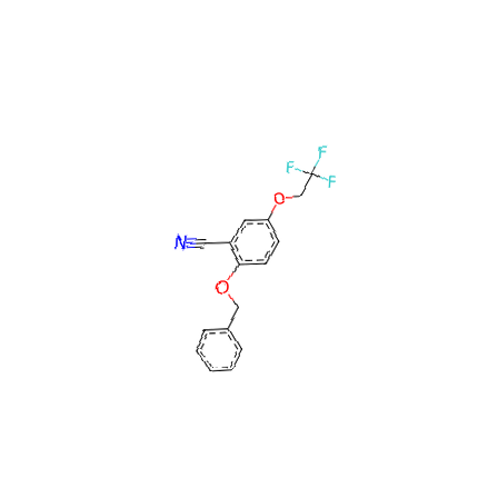 N#Cc1cc(OCC(F)(F)F)ccc1OCc1ccccc1